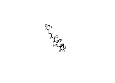 CCCCCCC(=O)CC(=O)Nc1ccon1